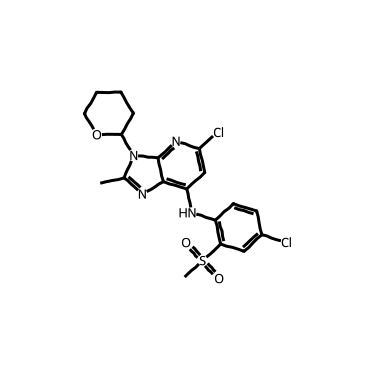 Cc1nc2c(Nc3ccc(Cl)cc3S(C)(=O)=O)cc(Cl)nc2n1C1CCCCO1